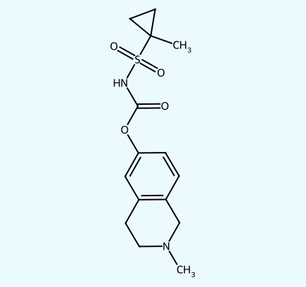 CN1CCc2cc(OC(=O)NS(=O)(=O)C3(C)CC3)ccc2C1